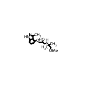 COCC(C)(C)NC[C@H](O)COc1cccc2[nH]nc(C)c12